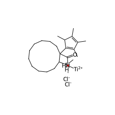 CC1=C(C)C(C)C(C2(C(=O)[NH][Ti+2])CCCCCCCCCCC2[SiH](C)C)=C1C.[Cl-].[Cl-]